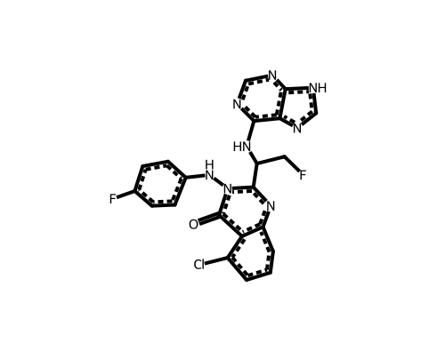 O=c1c2c(Cl)cccc2nc(C(CF)Nc2ncnc3[nH]cnc23)n1Nc1ccc(F)cc1